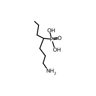 CCCC(CCCN)P(=O)(O)O